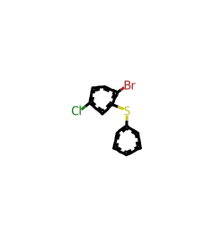 Clc1ccc(Br)c(Sc2ccccc2)c1